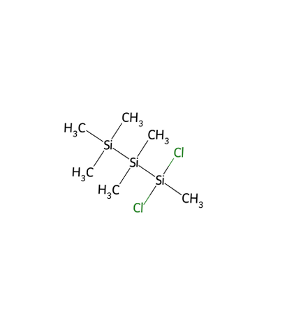 C[Si](C)(C)[Si](C)(C)[Si](C)(Cl)Cl